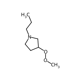 CCCN1CCC(OOC)C1